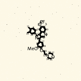 COc1cc(-c2nn(-c3ccc(C)c(C)c3)c3c2cnc2ccc(OC(F)(F)F)cc23)ccc1OCCN1CCOCC1